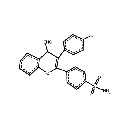 NS(=O)(=O)c1ccc(C2=C(c3ccc(Cl)cc3)C(C=O)c3ccccc3O2)cc1